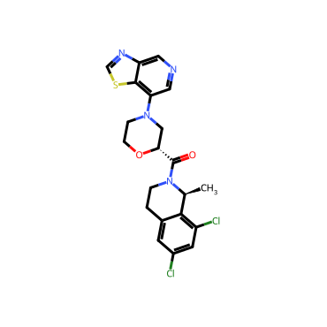 C[C@H]1c2c(Cl)cc(Cl)cc2CCN1C(=O)[C@H]1CN(c2cncc3ncsc23)CCO1